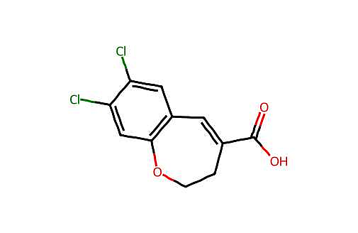 O=C(O)C1=Cc2cc(Cl)c(Cl)cc2OCC1